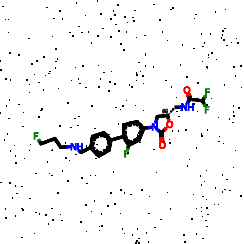 O=C(NC[C@H]1CN(c2ccc(-c3ccc(CNCCCF)cc3)c(F)c2)C(=O)O1)C(F)F